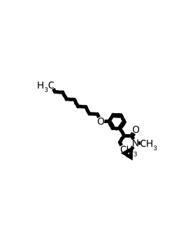 CCCCCCCCCOc1cccc(C(CC)C(=O)N(C)C2CC2)c1